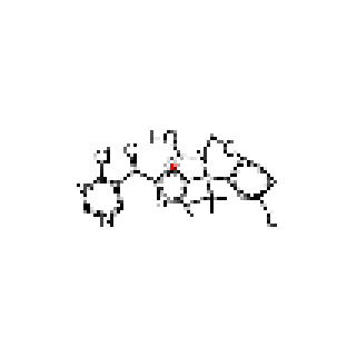 Cc1sc(C(=O)c2cncnc2Cl)cc1[C@@]1(C(C)(C)C)c2cc(Cl)ccc2CCN1C(=O)O